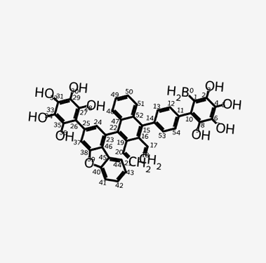 Bc1c(O)c(O)c(O)c(O)c1-c1ccc(-c2c(C=C)c(C=C)c(-c3cc(-c4c(O)c(O)c(O)c(O)c4O)cc4oc5ccccc5c34)c3ccccc23)cc1